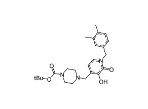 Cc1ccc(Cn2ccc(CN3CCN(C(=O)OC(C)(C)C)CC3)c(O)c2=O)cc1C